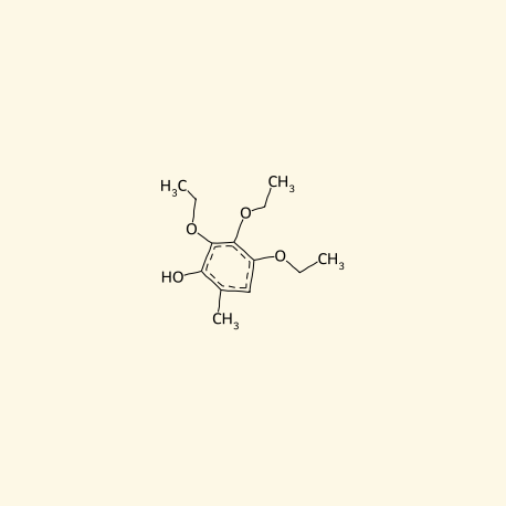 CCOc1cc(C)c(O)c(OCC)c1OCC